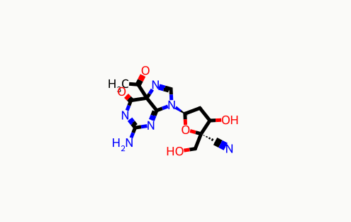 CC(=O)C12N=CN([C@H]3CC(O)[C@@](C#N)(CO)O3)C1=NC(N)=NC2=O